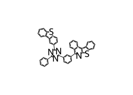 c1ccc(-c2nc(-c3cccc(-c4nc5sc6ccccc6c5c5ccccc45)c3)nc(-c3ccc4sc5ccccc5c4c3)n2)cc1